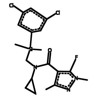 Cc1nn(C)c(F)c1C(=O)N(C[Si](C)(C)c1cc(Cl)cc(Cl)c1)C1CC1